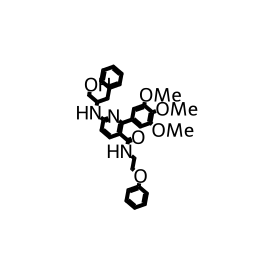 COc1cc(-c2nc(NC(CO)Cc3ccccc3)ccc2C(=O)NCCOc2ccccc2)cc(OC)c1OC